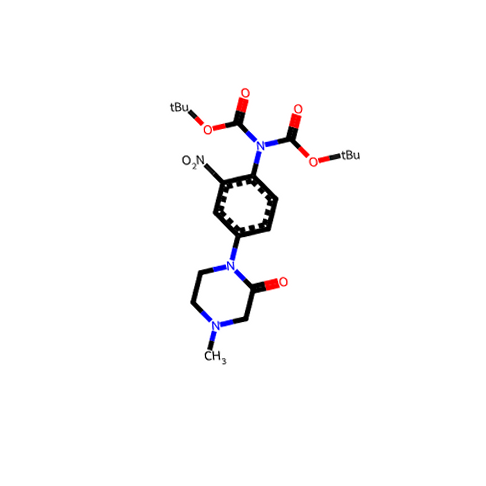 CN1CCN(c2ccc(N(C(=O)OC(C)(C)C)C(=O)OC(C)(C)C)c([N+](=O)[O-])c2)C(=O)C1